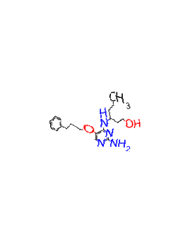 CCCC(CCO)Nc1nc(N)ncc1OCCCc1ccccc1